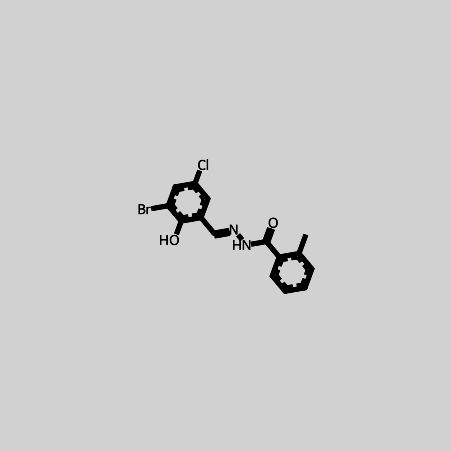 Cc1ccccc1C(=O)N/N=C/c1cc(Cl)cc(Br)c1O